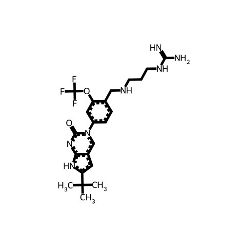 CC(C)(C)c1cc2cn(-c3ccc(CNCCCNC(=N)N)c(OC(F)(F)F)c3)c(=O)nc2[nH]1